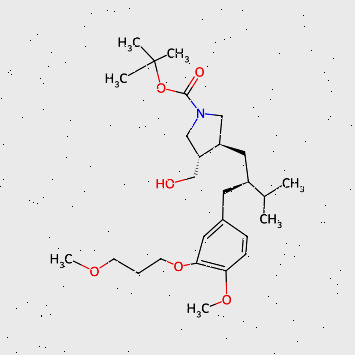 COCCCOc1cc(C[C@@H](C[C@@H]2CN(C(=O)OC(C)(C)C)C[C@H]2CO)C(C)C)ccc1OC